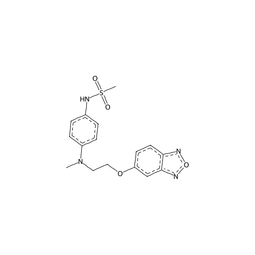 CN(CCOc1ccc2nonc2c1)c1ccc(NS(C)(=O)=O)cc1